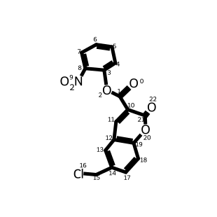 O=C(Oc1ccccc1[N+](=O)[O-])c1cc2cc(CCl)ccc2oc1=O